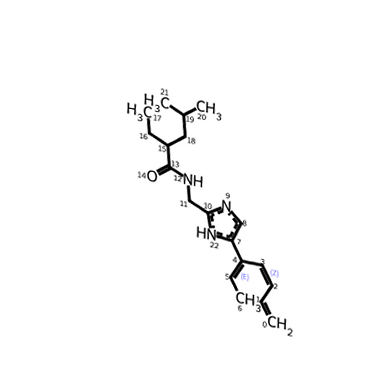 C=C/C=C\C(=C/C)c1cnc(CNC(=O)C(CC)CC(C)C)[nH]1